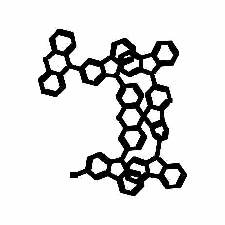 N#Cc1ccc2c(c1)c1ccccc1n2-c1ccc2c(c1)Oc1cc(-n3c4ccccc4c4cc(N5c6ccccc6Oc6ccccc65)ccc43)ccc1C21c2cc(-n3c4ccccc4c4ccccc43)cnc2-c2ncc(-n3c4ccccc4c4ccccc43)cc21